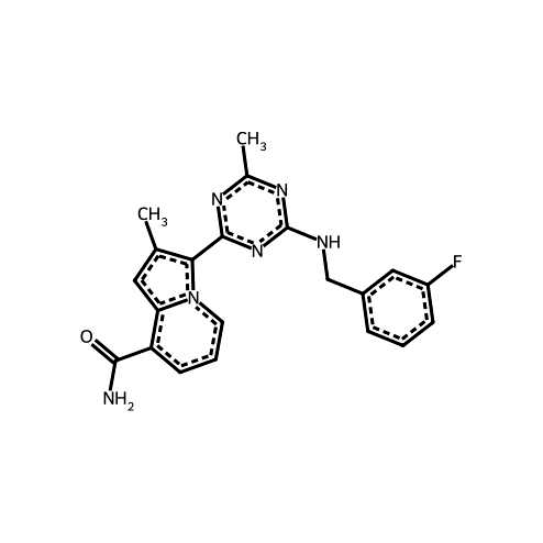 Cc1nc(NCc2cccc(F)c2)nc(-c2c(C)cc3c(C(N)=O)cccn23)n1